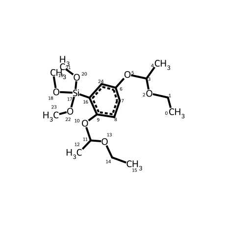 CCOC(C)Oc1ccc(OC(C)OCC)c([Si](OC)(OC)OC)c1